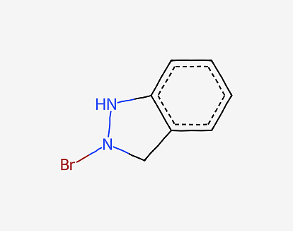 BrN1Cc2ccccc2N1